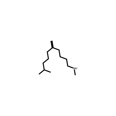 C=C(CCCCNC)CCCC(C)C